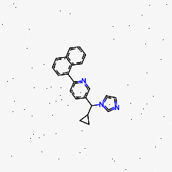 c1ccc2c(-c3ccc(C(C4CC4)n4ccnc4)cn3)cccc2c1